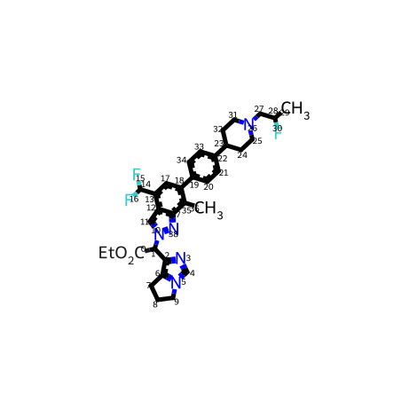 CCOC(=O)C(c1ncn2c1CCC2)n1cc2c(C(F)F)cc(-c3ccc(C4CCN(CC(C)F)CC4)cc3)c(C)c2n1